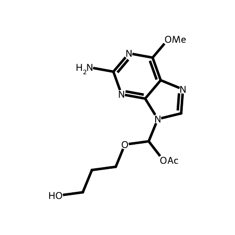 COc1nc(N)nc2c1ncn2C(OCCCO)OC(C)=O